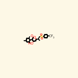 Cc1cc(C)c(-c2c(O)cc(C(C)CS(=O)(=O)c3ccc(C(F)(F)F)cc3)oc2=O)c(C)c1